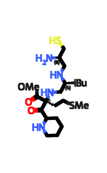 CCC(C)[C@@H](CN[C@](CCSC)(C(=O)OC)C(=O)C1CCCCN1)NC[C@@H](N)CS